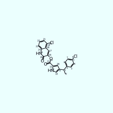 CC(c1ccc(Cl)cc1)c1c[nH]c(C(=O)Oc2cc3c(Cl)cccc3[nH]c2=O)c1